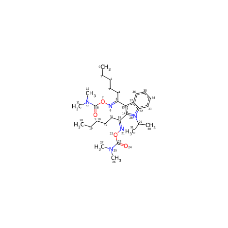 CCCCC/C(=N\OC(=O)N(C)C)c1c(/C(CCCCC)=N/OC(=O)N(C)C)n(C(C)C)c2ccccc12